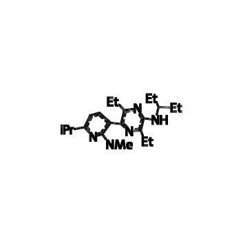 CCc1nc(-c2ccc(C(C)C)nc2NC)c(CC)nc1NC(CC)CC